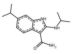 CC(C)Nc1[nH]c2cc(C(C)C)ccc2c1C(N)=O